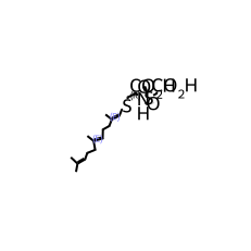 CC(C)=CCC/C(C)=C/CC/C(C)=C/CSC[C@H](NS(=O)(=O)CC(=O)O)C(=O)O